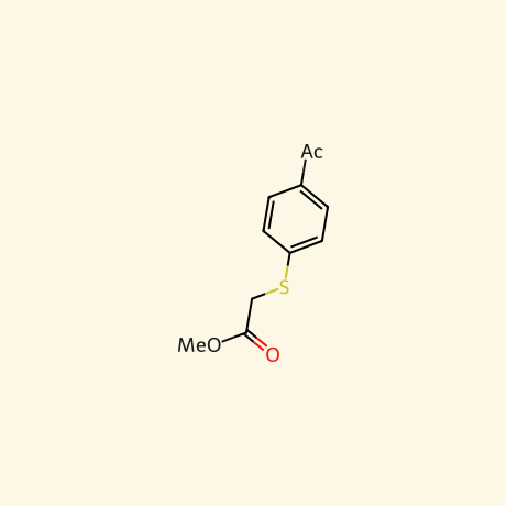 COC(=O)CSc1ccc(C(C)=O)cc1